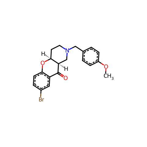 COc1ccc(CN2CC[C@@H]3Oc4ccc(Br)cc4C(=O)[C@@H]3C2)cc1